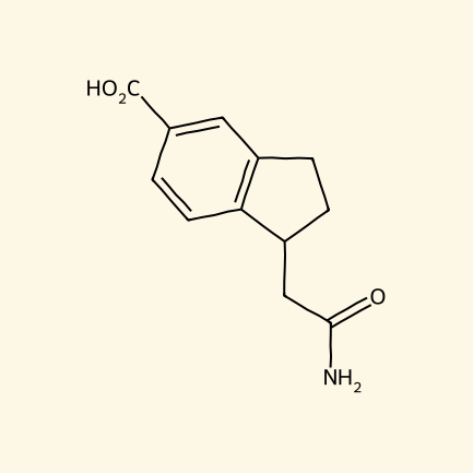 NC(=O)CC1CCc2cc(C(=O)O)ccc21